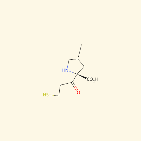 CC1CN[C@@](C(=O)O)(C(=O)CCS)C1